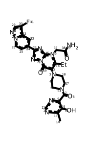 CCc1c(N2CCN(C(=O)c3ncnc(C)c3O)CC2)c(=O)n2nc(-c3ccn4ncc(F)c4c3)nc2n1CC(N)=O